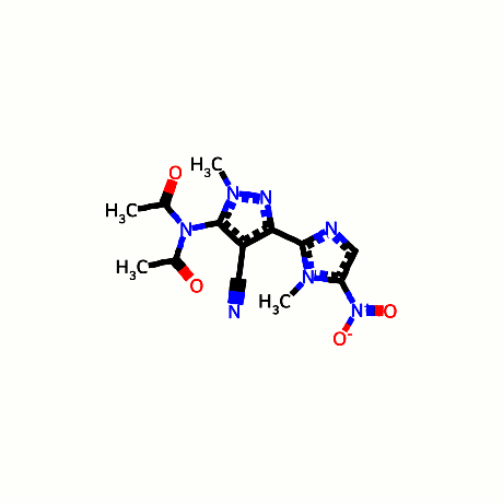 CC(=O)N(C(C)=O)c1c(C#N)c(-c2ncc([N+](=O)[O-])n2C)nn1C